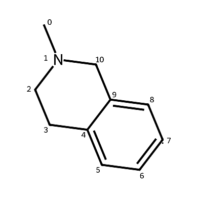 CN1CCc2cc[c]cc2C1